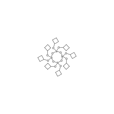 C1CC(O[Si]2(OC3CCC3)O[Si](OC3CCC3)(OC3CCC3)O[Si](OC3CCC3)(OC3CCC3)O[Si](OC3CCC3)(OC3CCC3)O2)C1